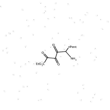 CCCCCC(N)C(=O)C(=O)C(=O)C(=O)OCC